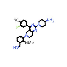 CNc1c(C=N)cccc1N1CCc2nc(N3CCC(N)CC3)nc(-c3ccc(C#N)c(F)c3)c2C1